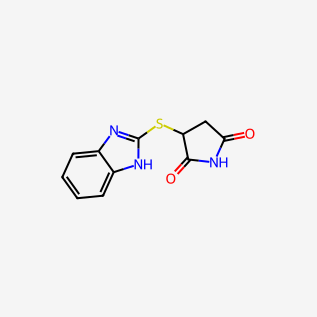 O=C1CC(Sc2nc3ccccc3[nH]2)C(=O)N1